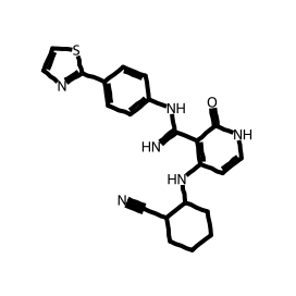 N#CC1CCCCC1Nc1cc[nH]c(=O)c1C(=N)Nc1ccc(-c2nccs2)cc1